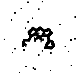 CC(C)CCC1=[N+]2C(=Cc3ccc(-c4ccccc4)n3[B-]2(F)F)C=C1